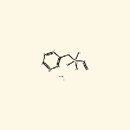 Br.C=CP(C)(C)(C)Cc1ccccc1